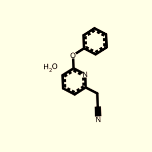 N#CCc1cccc(Oc2ccccc2)n1.O